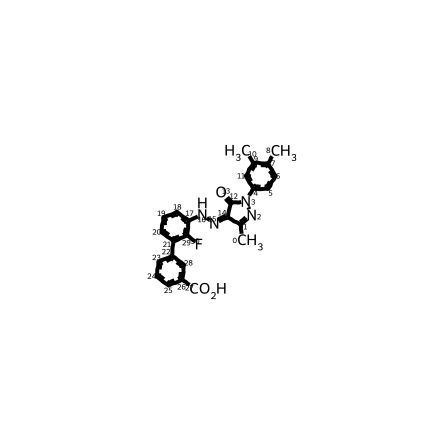 CC1=NN(c2ccc(C)c(C)c2)C(=O)C1=NNc1cccc(-c2cccc(C(=O)O)c2)c1F